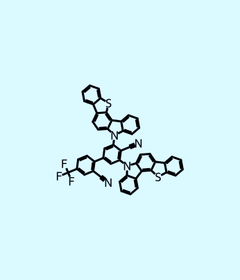 N#Cc1cc(C(F)(F)F)ccc1-c1cc(-n2c3ccccc3c3c4sc5ccccc5c4ccc32)c(C#N)c(-n2c3ccccc3c3c4sc5ccccc5c4ccc32)c1